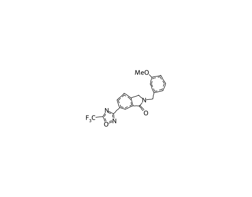 COc1cccc(CN2Cc3ccc(-c4noc(C(F)(F)F)n4)cc3C2=O)c1